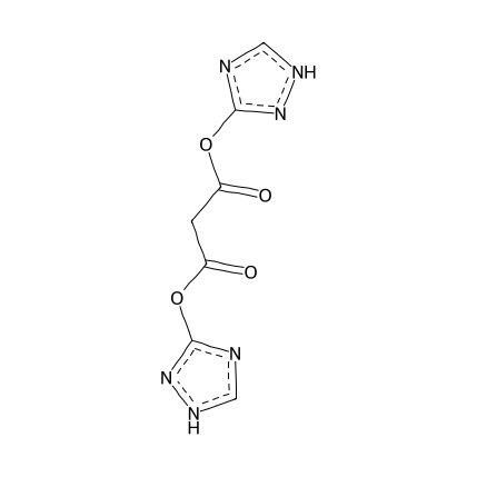 O=C(CC(=O)Oc1nc[nH]n1)Oc1nc[nH]n1